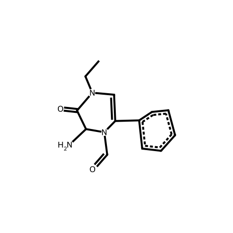 CCN1C=C(c2ccccc2)N(C=O)C(N)C1=O